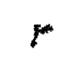 COCCCc1nc2c(COC3CN(C(=O)O)CCC3c3ccc(OCCCOCc4ccccc4OC)cc3)cccc2n1C(C)OCC[Si](C)(C)C